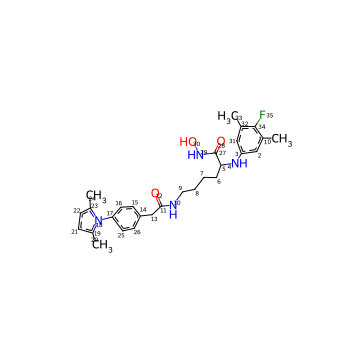 Cc1cc(NC(CCCCNC(=O)Cc2ccc(-n3c(C)ccc3C)cc2)C(=O)NO)cc(C)c1F